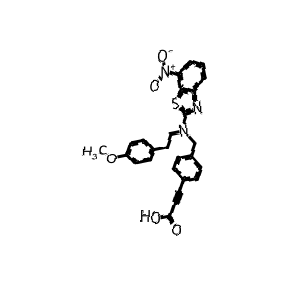 COc1ccc(CCN(Cc2ccc(C#CC(=O)O)cc2)c2nc3cccc([N+](=O)[O-])c3s2)cc1